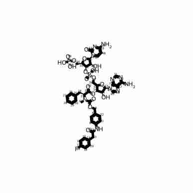 CN(C(=O)OCc1ccc(NC(=O)Cc2ccc(F)cc2)cc1)[C@@H](Cc1ccccc1)C(=O)O[C@@H]1C(COP(=O)(O)O[C@H]2[C@@H](O)[C@H](n3ccc(N)nc3=O)O[C@@H]2COP(=O)(O)O)O[C@@H](n2cnc3c(N)ncnc32)[C@@H]1O